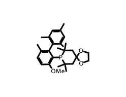 COc1ccc(C)c(-c2c(C)cc(C)cc2C)c1P1C(C)(C)CC2(CC1(C)C)OCCO2